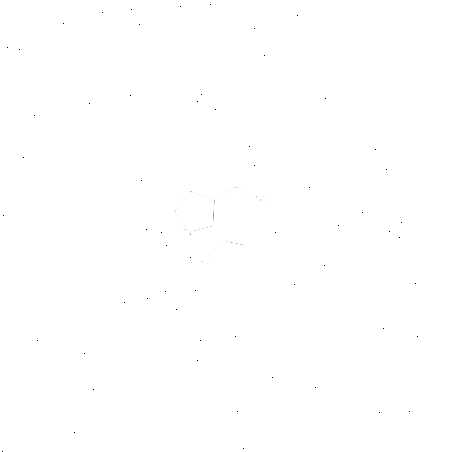 CC(C)(C)OC=O.NCC1CCNC1